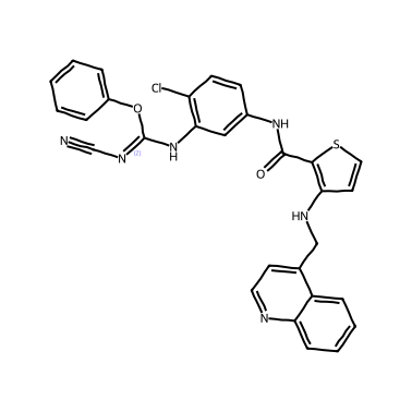 N#C/N=C(/Nc1cc(NC(=O)c2sccc2NCc2ccnc3ccccc23)ccc1Cl)Oc1ccccc1